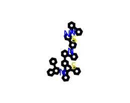 c1ccc(-c2cc(-n3c4ccccc4c4c5c6ccccc6sc5c5cc(-c6cccc7c6c6ccccc6n7-c6ccc7sc8c(-n9c%10ccccc%10c%10ccccc%109)nccc8c7c6)ccc5c43)cc3ccccc23)cc1